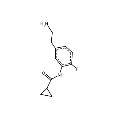 NCCc1ccc(F)c(NC(=O)C2CC2)c1